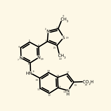 Cc1nc(-c2ccnc(Nc3ccc4[nH]c(C(=O)O)cc4c3)n2)c(C)s1